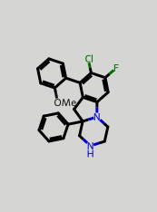 COc1ccccc1-c1c(Cl)c(F)cc2c1CC1(c3ccccc3)CNCCN21